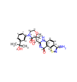 CC(C)(O)c1cccc(N2CCOC(C)([C@@H](O)c3nc(=O)c4c(ccc5c(N)nsc54)[nH]3)C2=O)c1